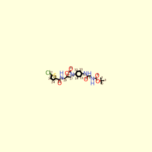 CC(C)(C)OC(=O)NCC(=O)Nc1ccc(N2CC(CNC(=O)c3ccc(Cl)s3)OC2=O)cc1